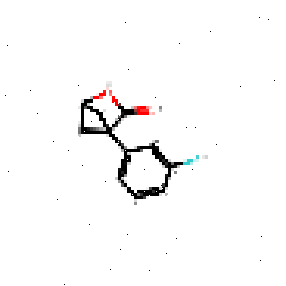 O=C1OC2CC1(c1cccc(F)c1)C2